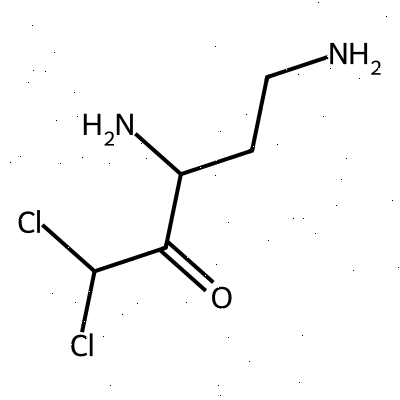 NCCC(N)C(=O)C(Cl)Cl